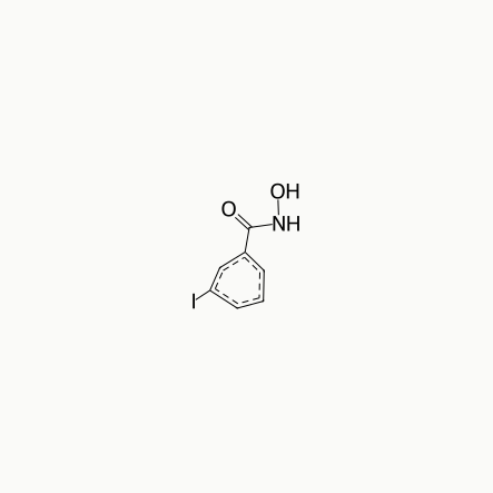 O=C(NO)c1cccc(I)c1